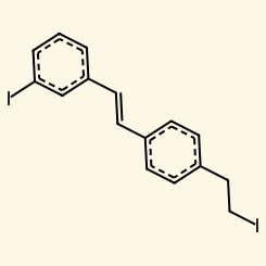 ICCc1ccc(/C=C/c2cccc(I)c2)cc1